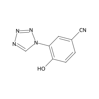 N#Cc1ccc(O)c(-n2cnnn2)c1